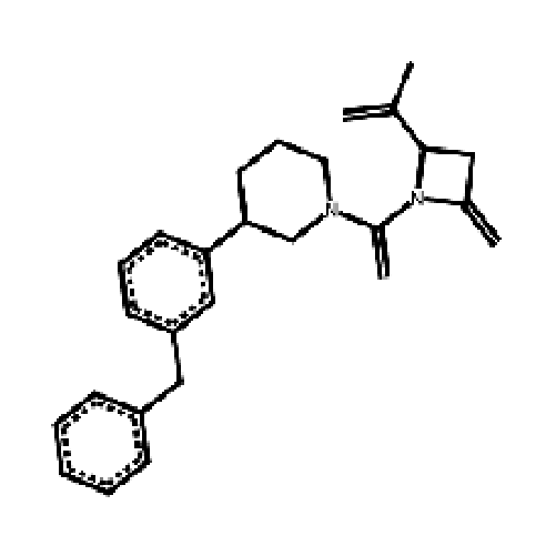 C=C(C)C1CC(=C)N1C(=C)N1CCCC(c2cccc(Cc3ccccc3)c2)C1